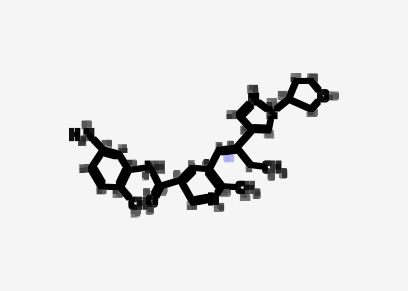 CC/C(=C\c1cc(C(=O)Nc2cc(N)ccc2C)cnc1C)c1cnn(C2CCOC2)c1